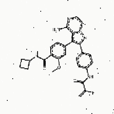 C=C(F)C(=O)Nc1ccc(-c2nn3ncnc(N)c3c2-c2ccc(C(=O)NC3CCC3)c(OC)c2)cc1